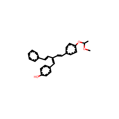 COC(C)Oc1ccc(C=CC(C=Cc2ccccc2)=Cc2ccc(O)cc2)cc1